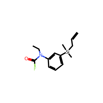 C=CC[Si](C)(C)c1cccc(N(CC)C(=O)F)c1